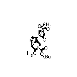 CC1Cn2ncc(N3CN(S(C)(=O)=O)CC3=O)c2CN1C(=O)OC(C)(C)C